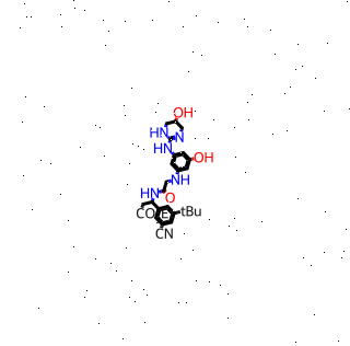 CCOC(=O)CC(NC(=O)CNc1cc(O)cc(NC2=NCC(O)CN2)c1)c1cc(C#N)cc(C(C)(C)C)c1